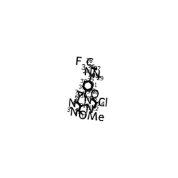 COc1ncnc(C2CC2)c1-c1ncc(Cl)c(=O)n1Cc1ccc(-c2nc(C(F)(F)F)cn2C)cc1